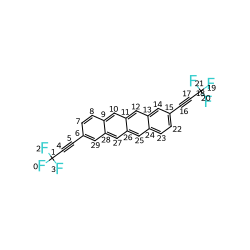 FC(F)(F)C#Cc1ccc2cc3cc4cc(C#CC(F)(F)F)ccc4cc3cc2c1